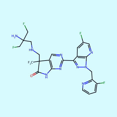 NC(CF)(CF)CNCC1(C(F)(F)F)C(=O)Nc2nc(-c3nn(Cc4ncccc4F)c4ncc(F)cc34)ncc21